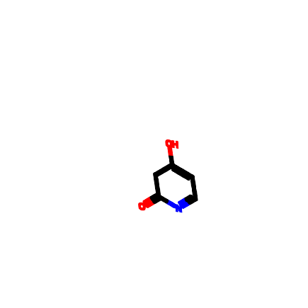 O=C1CC(O)=CC=N1